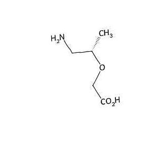 C[C@@H](CN)OCC(=O)O